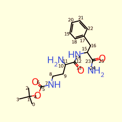 CC(C)(C)OC(=O)NCCC(N)C(=O)NC(Cc1ccccc1)C(N)=O